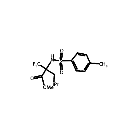 COC(=O)C(CC(C)C)(NS(=O)(=O)c1ccc(C)cc1)C(F)(F)F